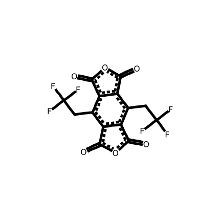 O=c1oc(=O)c2c(CC(F)(F)F)c3c(=O)oc(=O)c3c(CC(F)(F)F)c12